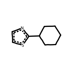 c1csc([C]2CCCCC2)n1